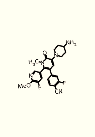 COc1ncc(-c2c(-c3ccc(C#N)c(F)c3)cc(N3CCC(N)CC3)c(=O)n2C)cc1F